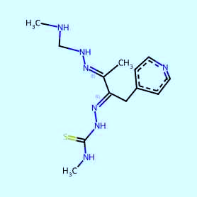 CNCN/N=C(C)/C(Cc1ccncc1)=N/NC(=S)NC